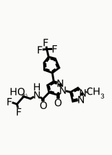 Cn1cc(-n2nc(-c3ccc(C(F)(F)F)cc3)cc(C(=O)NC[C@H](O)C(F)F)c2=O)cn1